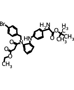 CCOC(=O)CC(=O)N(Cc1ccc(Br)cc1)c1ccccc1Nc1ccc(C(N)C(=O)OC(C)(C)C)cc1